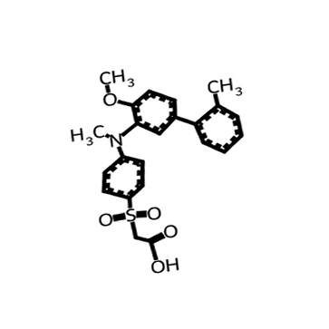 COc1ccc(-c2ccccc2C)cc1N(C)c1ccc(S(=O)(=O)CC(=O)O)cc1